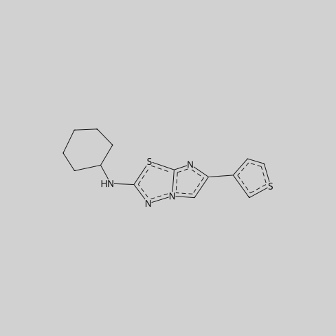 c1cc(-c2cn3nc(NC4CCCCC4)sc3n2)cs1